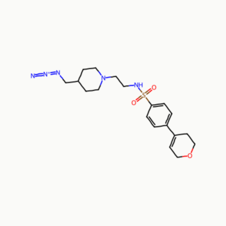 [N-]=[N+]=NCC1CCN(CCNS(=O)(=O)c2ccc(C3=CCOCC3)cc2)CC1